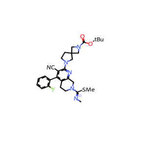 C/N=C(\SC)N1CCc2c(nc(N3CCC4(CN(C(=O)OC(C)(C)C)C4)C3)c(C#N)c2-c2ccccc2F)C1